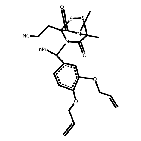 C=CCOc1ccc(C(CCC)N2C(=O)C3(C)SSC2(CCC#N)C(=O)N3C)cc1OCC=C